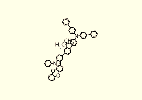 CC1(C)c2cc(-c3ccc4c(c3)c3ccc5c(c3n4-c3ccccc3)Oc3ccccc3O5)ccc2-c2ccc(N(c3ccc(-c4ccccc4)cc3)c3ccc(-c4ccccc4)cc3)cc21